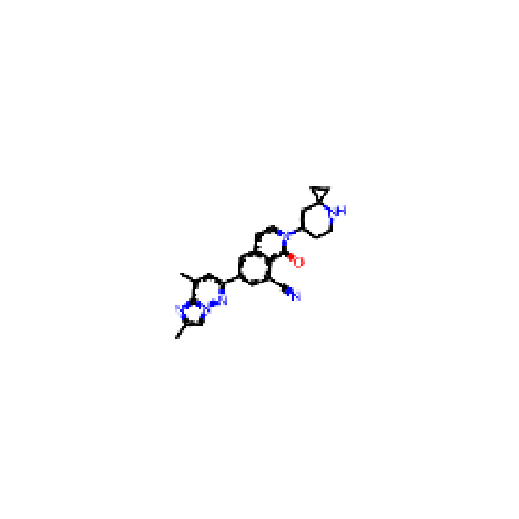 Cc1cn2nc(-c3cc(C#N)c4c(=O)n(C5CCNC6(CC6)C5)ccc4c3)cc(C)c2n1